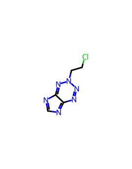 ClCCn1nnc2ncnc-2n1